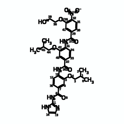 CC(C)COc1cc(C(=O)Nc2ncc[nH]2)ccc1NC(=O)c1ccc(NC(=O)c2ccc([N+](=O)[O-])c(OCCO)c2)c(OCC(C)C)c1